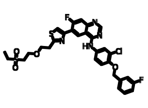 CCS(=O)(=O)CCOCCc1nc(-c2cc3c(Nc4ccc(OCc5cccc(F)c5)c(Cl)c4)ncnc3cc2F)cs1